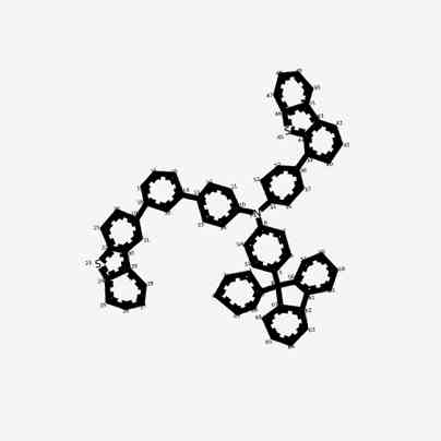 c1ccc(C2(c3ccc(N(c4ccc(-c5cccc(-c6ccc7sc8ccccc8c7c6)c5)cc4)c4ccc(-c5cccc6c5sc5ccccc56)cc4)cc3)c3ccccc3-c3ccccc32)cc1